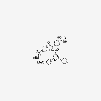 CCCCOC(=O)N1CCN(C(=O)C(NC(=O)c2cc(N3CCC(OC)C3)nc(-c3ccccc3)n2)c2ccc(P(=O)(O)O)cc2)CC1